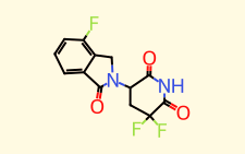 O=C1NC(=O)C(F)(F)CC1N1Cc2c(F)cccc2C1=O